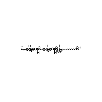 CC=C(O)CCCCCCCCCCCCCCCCC(=O)N[C@@H](CCC(=O)NCCOCCOCC(=O)NCCOCCOCC(=O)NCCOCCOCC(=O)NCCOCCOCC(C)=O)C(=O)O